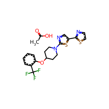 CC(=O)O.FC(F)(F)c1ccccc1OC1CCN(c2ncc(-c3nccs3)s2)CC1